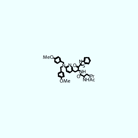 COc1ccc(CN(Cc2ccc(OC)cc2)c2ccc(CC(NC(=O)C(CC(C)C)NC(C)=O)C(=O)c3nc4ccccc4s3)cn2)cc1